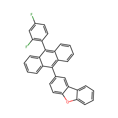 Fc1ccc(-c2c3ccccc3c(-c3ccc4oc5ccccc5c4c3)c3ccccc23)c(F)c1